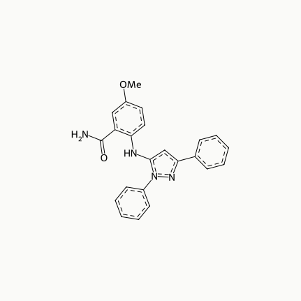 COc1ccc(Nc2cc(-c3ccccc3)nn2-c2ccccc2)c(C(N)=O)c1